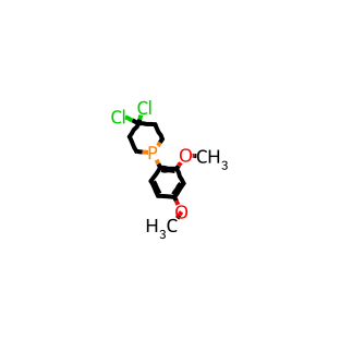 COc1ccc(P2CCC(Cl)(Cl)CC2)c(OC)c1